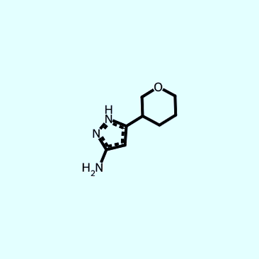 Nc1cc(C2CCCOC2)[nH]n1